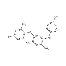 Cc1cc(I)cc(C)c1Oc1ccc(N)c(Nc2ccc(C#N)cc2)n1